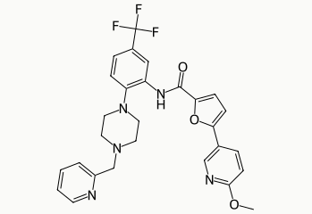 COc1ccc(-c2ccc(C(=O)Nc3cc(C(F)(F)F)ccc3N3CCN(Cc4ccccn4)CC3)o2)cn1